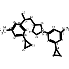 CC(C)c1cc(C2CC2)cc(N2CCC(CC(C)c3cc(C4CC4)cc(C(F)(F)F)c3)C2)c1